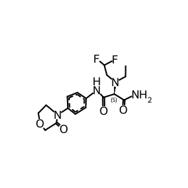 CCN(CC(F)F)[C@@H](C(N)=O)C(=O)Nc1ccc(N2CCOCC2=O)cc1